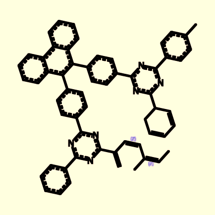 C=C(/C=C\C(C)=C/C)c1nc(-c2ccccc2)nc(-c2ccc(-c3c(-c4ccc(-c5nc(-c6ccc(C)cc6)nc(C6C=CC=CC6)n5)cc4)c4ccccc4c4ccccc34)cc2)n1